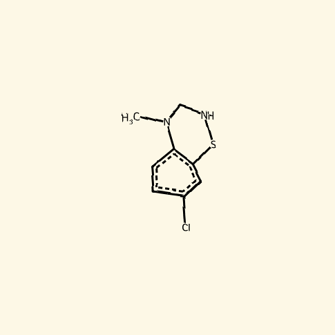 CN1CNSc2cc(Cl)ccc21